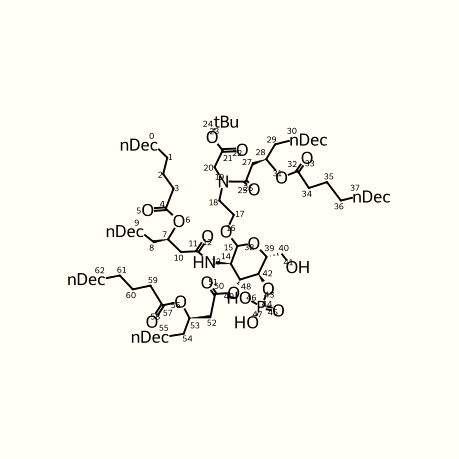 CCCCCCCCCCCCCC(=O)O[C@H](CCCCCCCCCCC)CC(=O)N[C@H]1C(OCCN(CC(=O)OC(C)(C)C)C(=O)C[C@@H](CCCCCCCCCCC)OC(=O)CCCCCCCCCCCCC)O[C@H](CO)[C@@H](OP(=O)(O)O)[C@@H]1OC(=O)C[C@@H](CCCCCCCCCCC)OC(=O)CCCCCCCCCCCCC